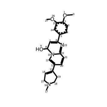 COc1ccc(C2=CC(O)N3C=C(C4=CCN(C)CC4)C=CC3=N2)cc1OC